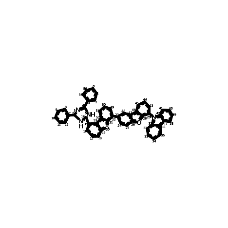 c1ccc(C2=NC(c3ccccc3)NC(c3cccc4sc5c(-c6ccc7oc8c(-n9c%10ccccc%10c%10ccccc%109)cccc8c7c6)cccc5c34)N2)cc1